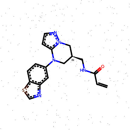 C=CC(=O)NC[C@H]1CN(c2ccc3scnc3c2)c2ccnn2C1